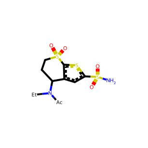 CCN(C(C)=O)C1CCS(=O)(=O)c2sc(S(N)(=O)=O)cc21